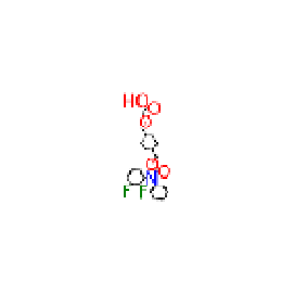 O=C(O)COCC1CCC(COC(=O)N(c2ccccc2)c2cccc(F)c2F)CC1